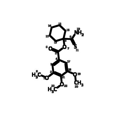 COc1cc(C(=O)OC2(C(N)=S)CCCCC2)cc(OC)c1OC